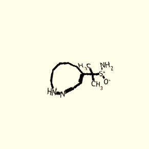 CC(C)(/C1=C/C=N\NCCCCC1)[S@+](N)[O-]